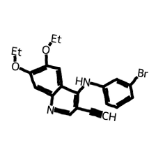 C#Cc1cnc2cc(OCC)c(OCC)cc2c1Nc1cccc(Br)c1